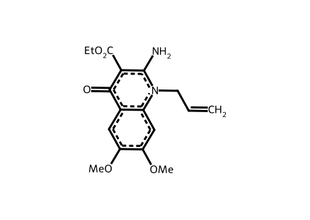 C=CCn1c(N)c(C(=O)OCC)c(=O)c2cc(OC)c(OC)cc21